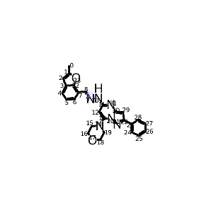 Cc1cc2cccc(/C=N/Nc3cc(N4CCOCC4)n4nc(-c5ccccc5)cc4n3)c2o1